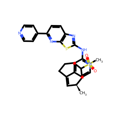 C[C@H]1/C=C(\c2ccnc(Nc3nc4ccc(-c5ccncc5)nc4s3)c2)CCCC(S(C)(=O)=O)C1